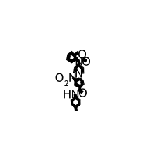 CC1CCC(NC(=O)c2ccc(N3CCC(N4C(=O)OCc5ccccc54)CC3)c([N+](=O)[O-])c2)CC1